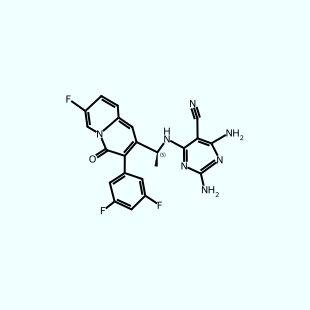 C[C@H](Nc1nc(N)nc(N)c1C#N)c1cc2ccc(F)cn2c(=O)c1-c1cc(F)cc(F)c1